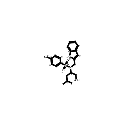 CC(C)CC(CO)N(Cc1cc2ccccc2o1)S(=O)(=O)c1ccc(Cl)cc1